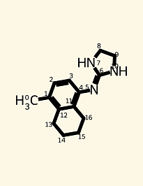 Cc1ccc(N=C2NCCN2)c2c1CCCC2